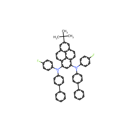 CC(C)(C)c1cc2ccc3c(N(c4ccc(F)cc4)c4ccc(-c5ccccc5)cc4)cc(N(c4ccc(F)cc4)c4ccc(-c5ccccc5)cc4)c4ccc(c1)c2c34